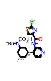 C[C@@H]1CC(N(C(=O)O)C(C)(C)C)C[C@H](c2ccncc2NC(=O)c2csc(Br)n2)C1